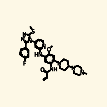 C=CC(=O)Nc1cc(Nc2cc(-n3c(SC)nnc3-c3ccc(F)cc3)ccn2)c(OC)cc1N1CCC(N2CCN(C)CC2)CC1